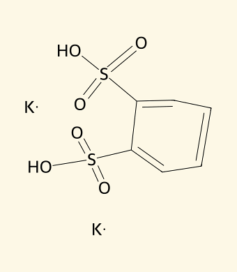 O=S(=O)(O)c1ccccc1S(=O)(=O)O.[K].[K]